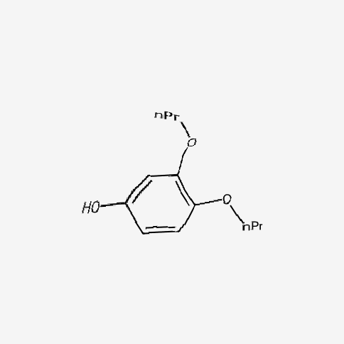 CCCOc1ccc(O)cc1OCCC